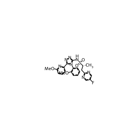 COc1cccc(-c2nnc(NS(=O)(=O)[C@H](C)Cc3ncc(F)cn3)n2-c2ccccc2OC)n1